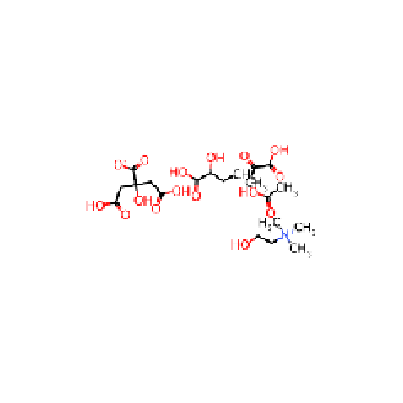 CC(=O)C(=O)O.CC(=O)O.CCC(O)C(=O)O.C[N+](C)(C)CCO.O=C(O)CC(O)(CC(=O)O)C(=O)[O-]